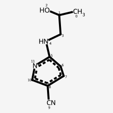 CC(O)CNc1ccc(C#N)cn1